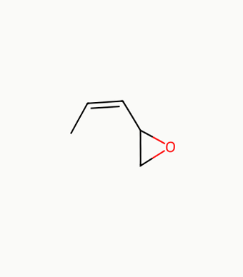 C/C=C\C1CO1